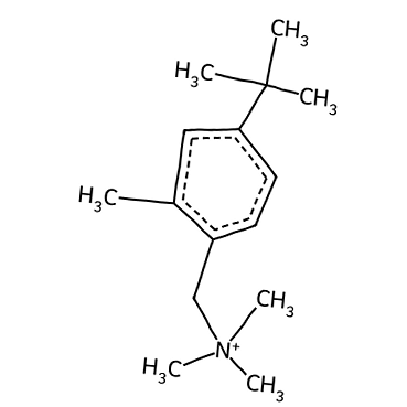 Cc1cc(C(C)(C)C)ccc1C[N+](C)(C)C